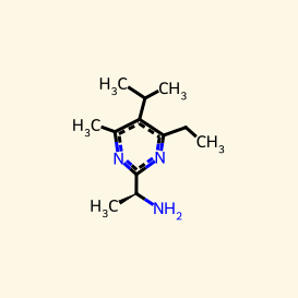 CCc1nc([C@H](C)N)nc(C)c1C(C)C